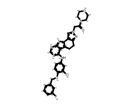 O=C(Cn1cc2c(n1)CCc1c-2sc2ncnc(Nc3ccc(OCc4cccc(F)c4)c(Cl)c3)c12)N1CCOCC1